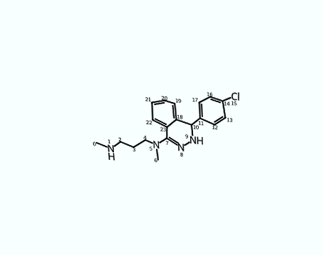 CNCCCN(C)C1=NNC(c2ccc(Cl)cc2)c2ccccc21